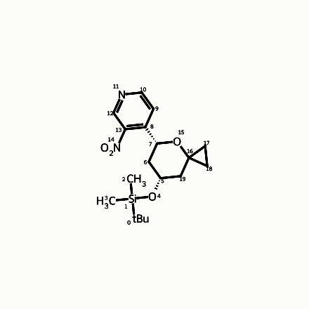 CC(C)(C)[Si](C)(C)O[C@@H]1C[C@H](c2ccncc2[N+](=O)[O-])OC2(CC2)C1